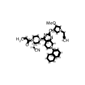 C#CCN1C[C@@H](OC)[C@H](Oc2nc3c(c(N4CCN(C(=O)C=C)[C@@H](CC#N)C4)n2)CCN(c2cccc4c2CCCC4)C3)C1